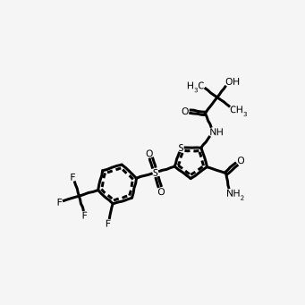 CC(C)(O)C(=O)Nc1sc(S(=O)(=O)c2ccc(C(F)(F)F)c(F)c2)cc1C(N)=O